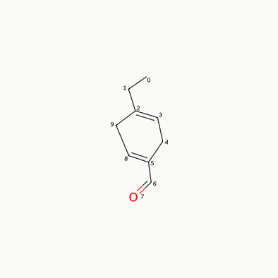 CCC1=CCC(C=O)=CC1